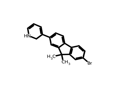 CC1(C)c2cc(Br)ccc2-c2ccc(C3=CC=CNC3)cc21